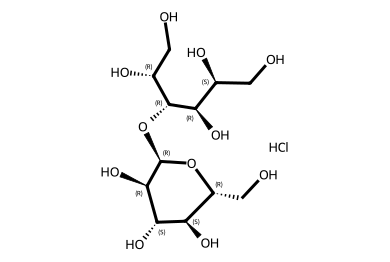 Cl.OC[C@@H](O)[C@@H](O[C@H]1O[C@H](CO)[C@@H](O)[C@H](O)[C@H]1O)[C@H](O)[C@@H](O)CO